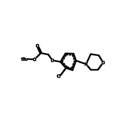 CC(C)(C)OC(=O)COc1ccc(N2CCOCC2)cc1Cl